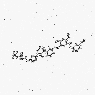 Cc1c(COc2cc(OCc3cncc(C#N)c3)c(C=O)cc2Cl)cccc1-c1cccc(-c2nnc(CCNC(=O)OC(C)(C)C)o2)c1C